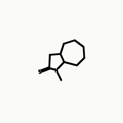 CN1C(=S)CC2CCCCCC21